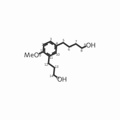 COc1ccc(C[CH]CCO)cc1CCCO